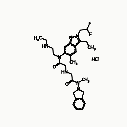 CCNCCN(C(=O)CNCC(=O)N(C)N1Cc2ccccc2C1)c1cc2nn(CC(F)F)c(CC)c2cc1C.Cl